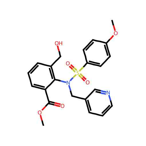 COC(=O)c1cccc(CO)c1N(Cc1cccnc1)S(=O)(=O)c1ccc(OC)cc1